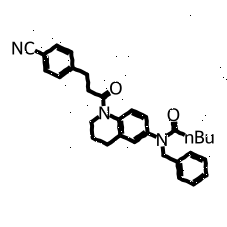 CCCCC(=O)N(Cc1ccccc1)c1ccc2c(c1)CCCN2C(=O)CCc1ccc(C#N)cc1